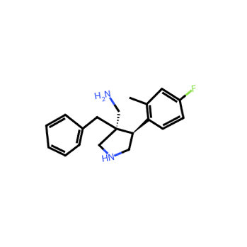 Cc1cc(F)ccc1[C@H]1CNC[C@@]1(CN)Cc1ccccc1